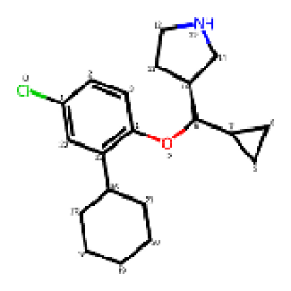 Clc1ccc(OC(C2CC2)[C@H]2CCNC2)c(C2CCCCC2)c1